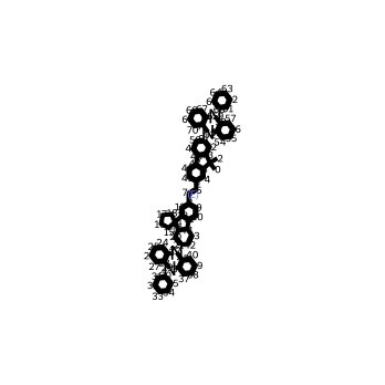 CC1(C)c2cc(/C=C/c3ccc4c(c3)C3(CCCC3)C3C=C(N5c6ccccc6N(c6ccccc6)c6ccccc65)C=CC43)ccc2-c2ccc(N3c4ccccc4N(c4ccccc4)c4ccccc43)cc21